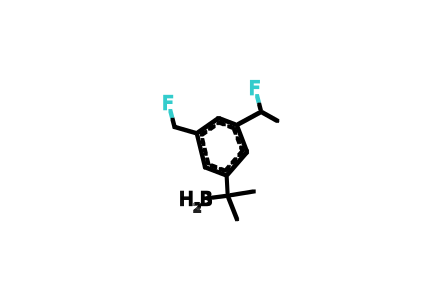 BC(C)(C)c1cc(CF)cc(C(C)F)c1